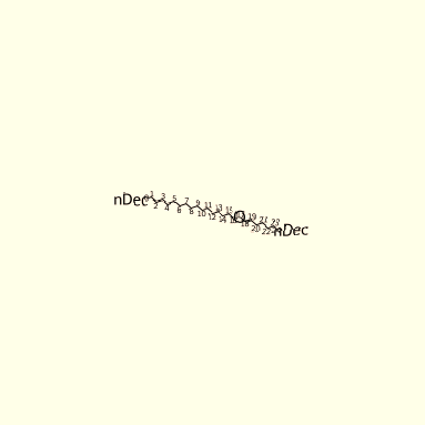 CCCCCCCCCCCCCCCCCCCCCCCCCCOCCCCCCCCCCCCCCCC